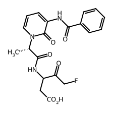 C[C@@H](C(=O)NC(CC(=O)O)C(=O)CF)n1cccc(NC(=O)c2ccccc2)c1=O